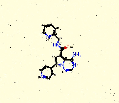 Nc1ncnn2c(-c3ccncc3)cc(C(=O)NCc3ccccn3)c12